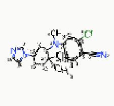 CN(c1ccc(C#N)c(Cl)c1)C1C=C(n2ccnc2)CCC1(C)C